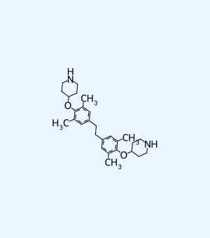 Cc1cc(CCc2cc(C)c(OC3CCNCC3)c(C)c2)cc(C)c1OC1CCNCC1